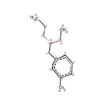 CCC[C@@H](Cc1cccc(C)c1)OC